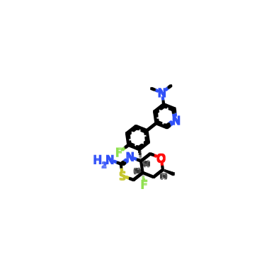 C[C@H]1C[C@@]2(F)CSC(N)=N[C@@]2(c2cc(-c3cncc(N(C)C)c3)ccc2F)CO1